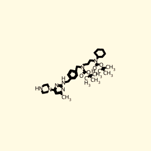 Cc1cc(N2CCNCC2)nc(NCc2ccc(CN(CCCN(C(=O)OC(C)(C)C)C3CCCCC3)C(=O)OC(C)(C)C)cc2)n1